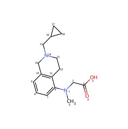 CN(CC(=O)O)c1cccc2c1CCN(CC1CC1)C2